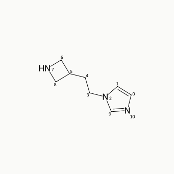 c1cn(CCC2CNC2)cn1